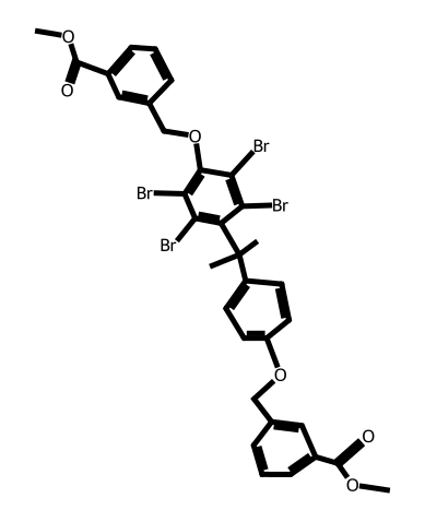 COC(=O)c1cccc(COc2ccc(C(C)(C)c3c(Br)c(Br)c(OCc4cccc(C(=O)OC)c4)c(Br)c3Br)cc2)c1